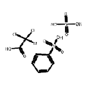 O=C(O)C(Cl)(Cl)Cl.O=S(=O)(O)O.O=S(=O)(O)c1ccccc1